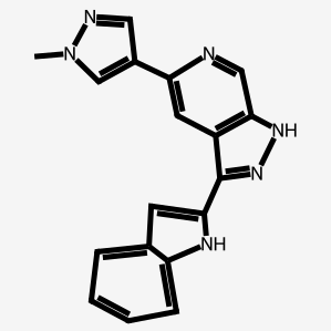 Cn1cc(-c2cc3c(-c4cc5ccccc5[nH]4)n[nH]c3cn2)cn1